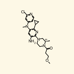 COCCC(=O)N1CCN(c2nc(C3CC3)c(N(C)c3ccnc(Cl)c3)cc2N)C[C@H]1C